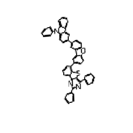 c1ccc(-c2nc(-c3ccccc3)c3sc4c(-c5ccc6oc7ccc(-c8ccc9c(c8)c8ccccc8n9-c8ccccc8)cc7c6c5)cccc4c3n2)cc1